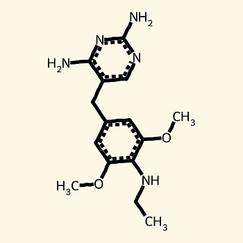 CCNc1c(OC)cc(Cc2cnc(N)nc2N)cc1OC